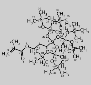 C=C(C)C(=O)OCCC[Si](O[Si](C)(O[Si](C)(C)C)O[Si](C)(C)C)(O[Si](C)(O[Si](C)(C)C)O[Si](C)(C)C)O[Si](C)(O[Si](C)(C)C)O[Si](C)(C)C